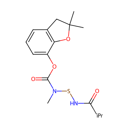 CC(C)C(=O)NSN(C)C(=O)Oc1cccc2c1OC(C)(C)C2